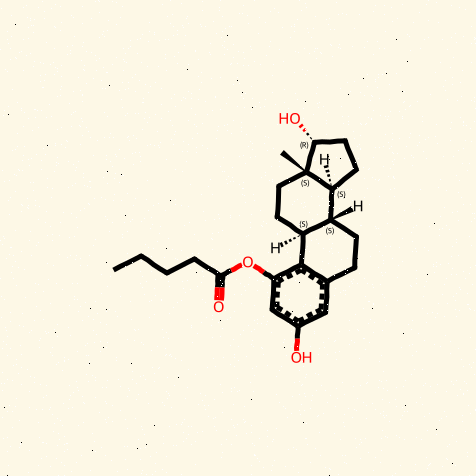 CCCCC(=O)Oc1cc(O)cc2c1[C@H]1CC[C@]3(C)[C@H](O)CC[C@H]3[C@@H]1CC2